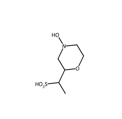 CC(C1CN(O)CCO1)S(=O)(=O)O